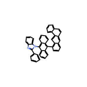 c1ccc(-c2nc3ccccc3n2-c2c3ccccc3c(-c3cccc4cc5ccc6ccccc6c5cc34)c3ccccc23)cc1